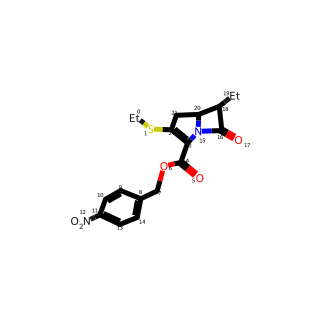 CCSC1=C(C(=O)OCc2ccc([N+](=O)[O-])cc2)N2C(=O)C(CC)C2C1